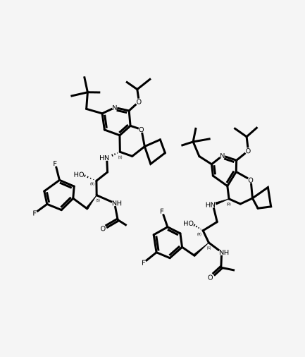 CC(=O)N[C@@H](Cc1cc(F)cc(F)c1)[C@H](O)CN[C@@H]1CC2(CCC2)Oc2c1cc(CC(C)(C)C)nc2OC(C)C.CC(=O)N[C@@H](Cc1cc(F)cc(F)c1)[C@H](O)CN[C@H]1CC2(CCC2)Oc2c1cc(CC(C)(C)C)nc2OC(C)C